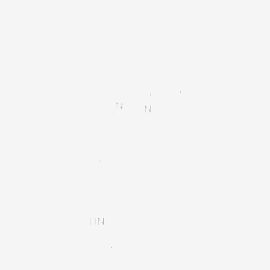 N/C(CCCOc1ccc2c(c1)CCC(=O)N2)=N\OC(=O)c1ccc(Cl)cc1